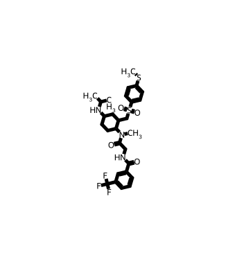 CSc1ccc(S(=O)(=O)CC2CC(NC(C)C)CCC2N(C)C(=O)CNC(=O)c2cccc(C(F)(F)F)c2)cc1